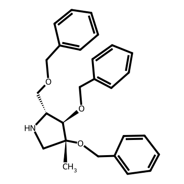 C[C@@]1(OCc2ccccc2)CN[C@H](COCc2ccccc2)[C@H]1OCc1ccccc1